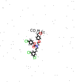 CCOC(Cc1ccc(OCCN(CCCc2cc(Cl)cc(Cl)c2)C(=O)Oc2ccc(Cl)cc2)cc1)C(=O)O